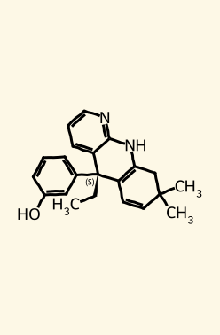 CC[C@]1(c2cccc(O)c2)C2=C(CC(C)(C)C=C2)Nc2ncccc21